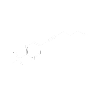 CC(=O)CCCC#Cc1cnc(S(C)(=O)=O)nc1